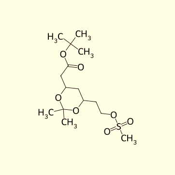 CC(C)(C)OC(=O)CC1CC(CCOS(C)(=O)=O)OC(C)(C)O1